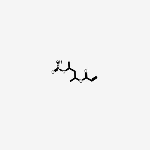 C=CC(=O)OC(C)CC(C)O[PH](=O)O